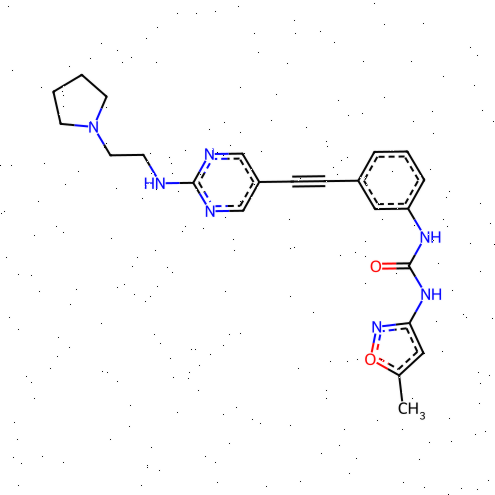 Cc1cc(NC(=O)Nc2cccc(C#Cc3cnc(NCCN4CCCC4)nc3)c2)no1